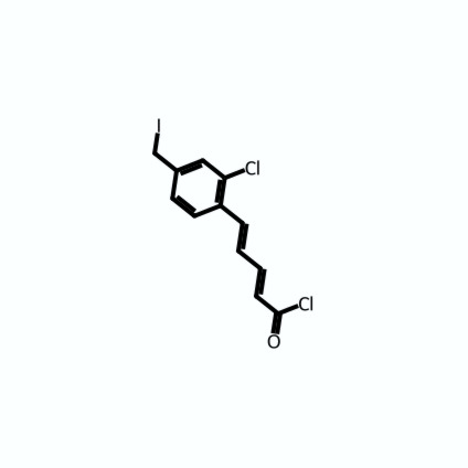 O=C(Cl)/C=C/C=C/c1ccc(CI)cc1Cl